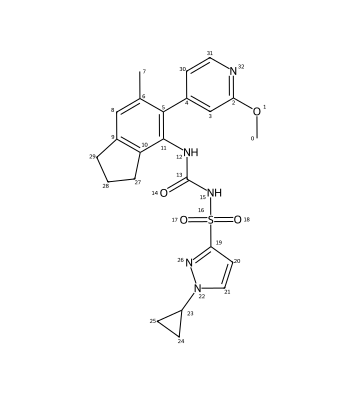 COc1cc(-c2c(C)cc3c(c2NC(=O)NS(=O)(=O)c2ccn(C4CC4)n2)CCC3)ccn1